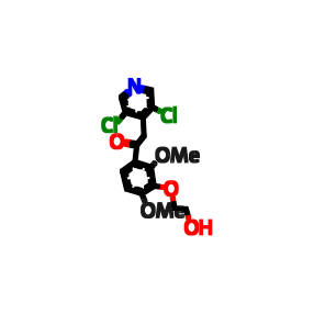 COc1ccc(C(=O)Cc2c(Cl)cncc2Cl)c(OC)c1OCCO